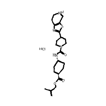 CC(C)COC(=O)[C@H]1CC[C@H](NC(=O)N2CCC(c3nc4c(s3)CNCC4)CC2)CC1.Cl